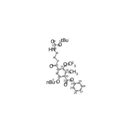 CCCCOc1cc(C(=O)CCCNC(=O)OC(C)(C)C)c(OC(F)(F)F)c(C)c1C(=O)Oc1ccccc1